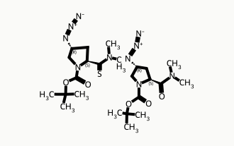 CN(C)C(=O)[C@@H]1C[C@@H](N=[N+]=[N-])CN1C(=O)OC(C)(C)C.CN(C)C(=S)[C@@H]1C[C@@H](N=[N+]=[N-])CN1C(=O)OC(C)(C)C